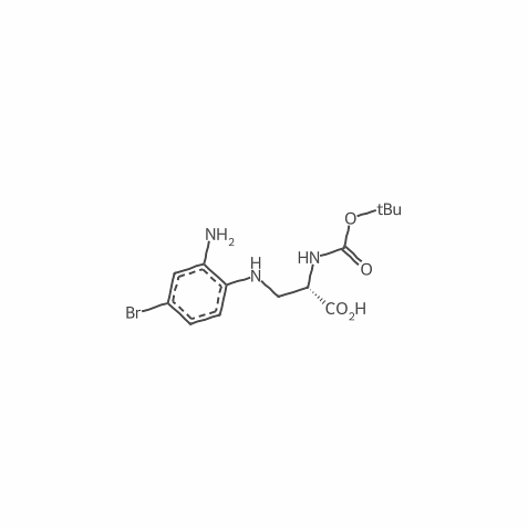 CC(C)(C)OC(=O)N[C@@H](CNc1ccc(Br)cc1N)C(=O)O